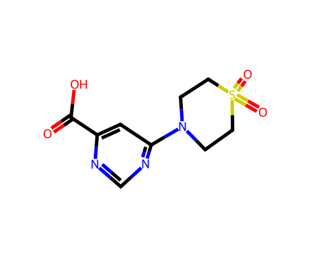 O=C(O)c1cc(N2CCS(=O)(=O)CC2)ncn1